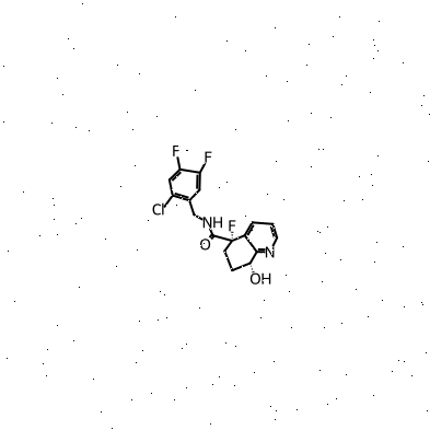 O=C(NCc1cc(F)c(F)cc1Cl)[C@]1(F)CC[C@@H](O)c2ncccc21